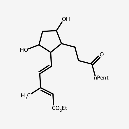 CCCCCC(=O)CCC1C(O)CC(O)C1C=CC(C)=CC(=O)OCC